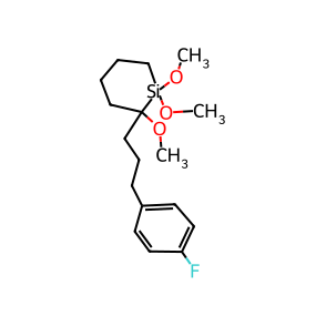 COC1(CCCc2ccc(F)cc2)CCCC[Si]1(OC)OC